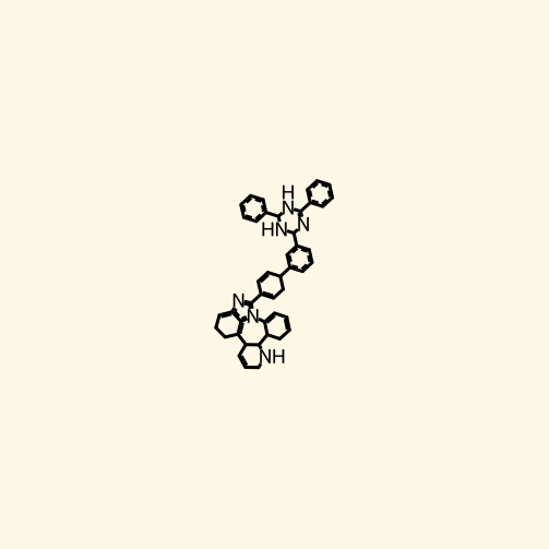 C1=CCC2C(=C1)n1c(C3=CCC(c4cccc(C5N=C(c6ccccc6)NC(c6ccccc6)N5)c4)C=C3)nc3c1=C(CCC=3)C1C=CCNC12